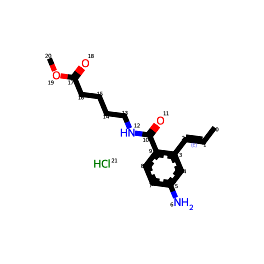 C/C=C/c1cc(N)ccc1C(=O)NCCCCC(=O)OC.Cl